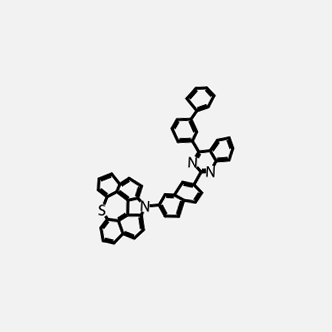 c1ccc(-c2cccc(-c3nc(-c4ccc5ccc(-n6c7ccc8cccc9sc%10cccc%11ccc6c(c%11%10)c7c89)cc5c4)nc4ccccc34)c2)cc1